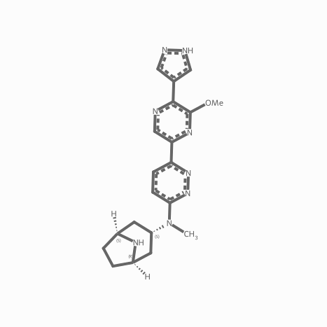 COc1nc(-c2ccc(N(C)[C@@H]3C[C@H]4CC[C@@H](C3)N4)nn2)cnc1-c1cn[nH]c1